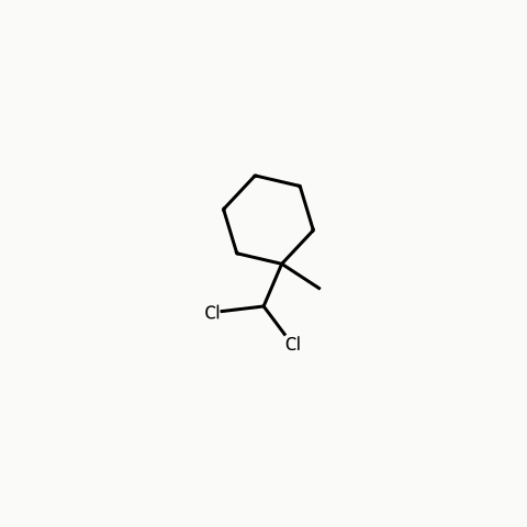 CC1(C(Cl)Cl)CCCCC1